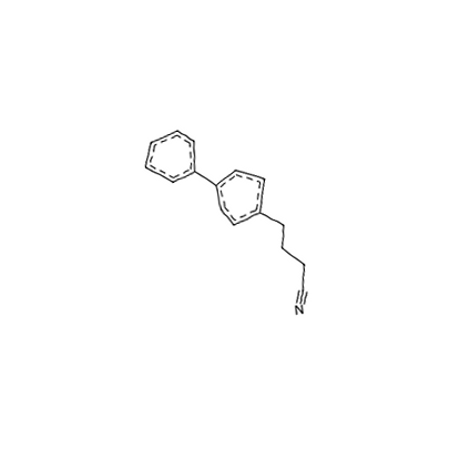 N#CCCCc1ccc(-c2ccccc2)cc1